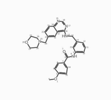 COc1ccc(C(=O)Nc2cccc(CNc3ncnc4ccc(CN5CCOCC5)cc34)c2)cc1